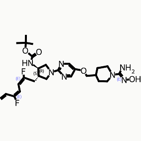 C=C/C(F)=C\C=C(\F)C[C@H]1CN(c2ncc(OCC3CCN(/C(N)=N/O)CC3)cn2)C[C@@H]1NC(=O)OC(C)(C)C